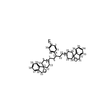 Fc1ccc(C(CCN2CCC3(CC2)OCc2ccccc23)CCN2CCC3(CC2)OCc2ccccc23)cc1